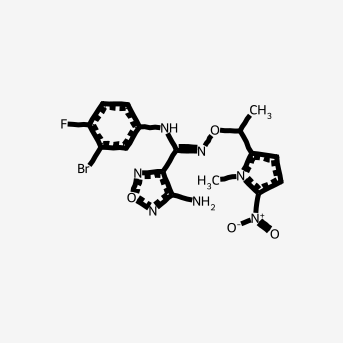 CC(O/N=C(\Nc1ccc(F)c(Br)c1)c1nonc1N)c1ccc([N+](=O)[O-])n1C